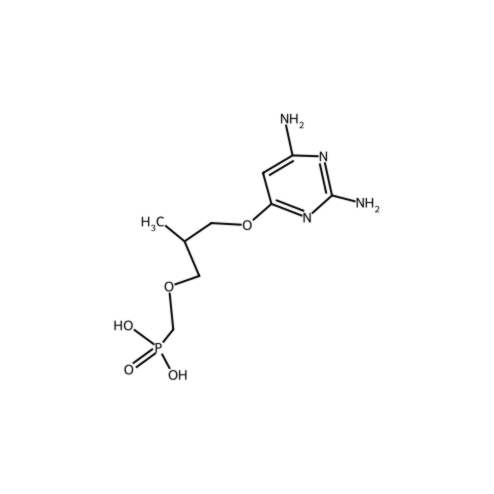 CC(COCP(=O)(O)O)COc1cc(N)nc(N)n1